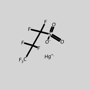 O=S(=O)([O-])C(F)(F)C(F)(F)C(F)(F)F.[Hg+]